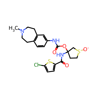 CN1CCc2ccc(NC(=O)OC3(NC(=O)c4ccc(Cl)s4)CC[S+]([O-])C3)cc2CC1